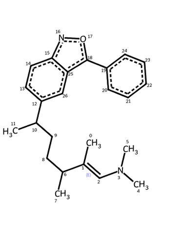 C/C(=C\N(C)C)C(C)CCC(C)c1ccc2noc(-c3ccccc3)c2c1